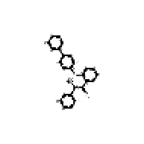 O=C(c1ccccc1Oc1ccc(-c2ccccc2)cc1)C(O)c1ccccc1